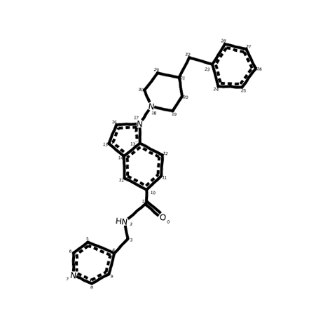 O=C(NCc1ccncc1)c1ccc2c(ccn2N2CCC(Cc3ccccc3)CC2)c1